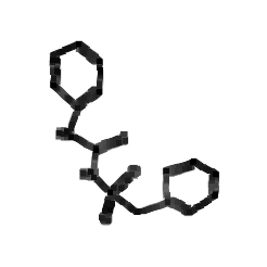 O=S(=O)(Cc1ccccc1)NC(=S)Nc1ccccc1